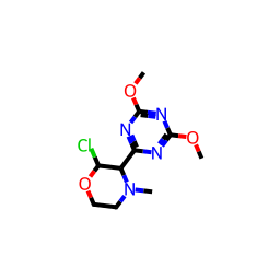 COc1nc(OC)nc(C2C(Cl)OCCN2C)n1